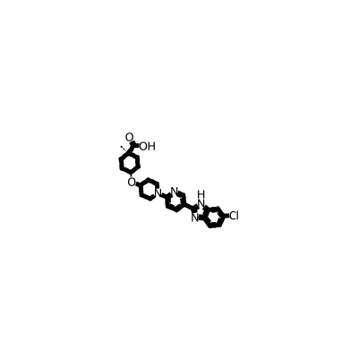 C[C@]1(C(=O)O)CC[C@H](OC2CCN(c3ccc(-c4nc5ccc(Cl)cc5[nH]4)cn3)CC2)CC1